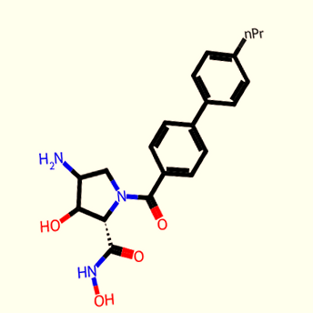 CCCc1ccc(-c2ccc(C(=O)N3CC(N)C(O)[C@H]3C(=O)NO)cc2)cc1